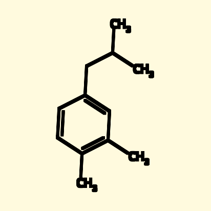 Cc1ccc(CC(C)C)cc1C